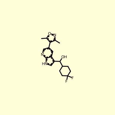 Cc1noc(C)c1-c1cnc2[nH]cc(C(O)C3CCC(F)(F)CC3)c2c1